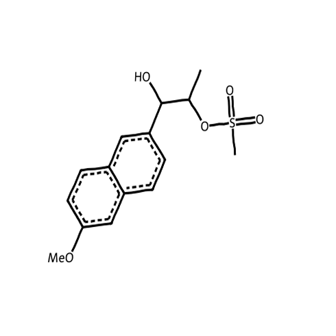 COc1ccc2cc(C(O)C(C)OS(C)(=O)=O)ccc2c1